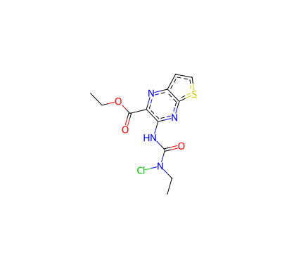 CCOC(=O)c1nc2ccsc2nc1NC(=O)N(Cl)CC